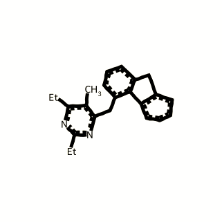 CCc1nc(CC)c(C)c(Cc2cccc3c2-c2ccccc2C3)n1